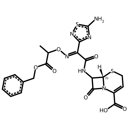 CC(ON=C(C(=O)NC1C(=O)N2C(C(=O)O)=CCS[C@@H]12)c1nsc(N)n1)C(=O)OCc1ccccc1